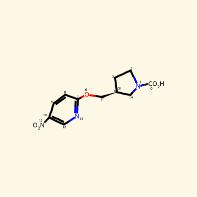 O=C(O)N1CC[C@H](COc2ccc([N+](=O)[O-])cn2)C1